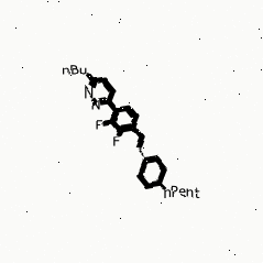 CCCCC[C@H]1CC[C@H](CCc2ccc(-c3ccc(CCCC)nn3)c(F)c2F)CC1